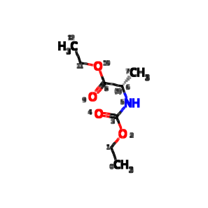 CCOC(=O)N[C@@H](C)C(=O)OCC